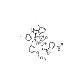 CCOc1cccc(CN2[C@H]3CCN(c4ccc(C(=O)O)cc4[N+](=O)[O-])C(=O)[C@H]3[C@H](c3cccc(Cl)c3F)[C@]23C(=O)Nc2cc(Cl)ccc23)c1